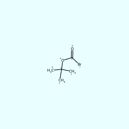 CC(C)(C)OC(=O)Br